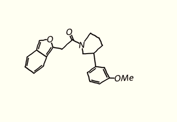 COc1cccc(C2CCCN(C(=O)Cc3occ4ccccc34)C2)c1